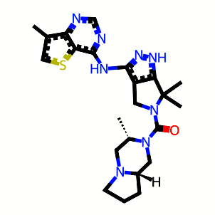 Cc1csc2c(Nc3n[nH]c4c3CN(C(=O)N3C[C@@H]5CCCN5C[C@@H]3C)C4(C)C)ncnc12